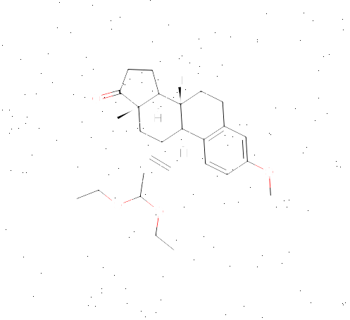 C=C.CCOC(C)OCC.COc1ccc2c(c1)CC[C@@H]1[C@@H]2CC[C@]2(C)C(=O)CC[C@@H]12